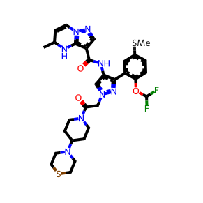 CSc1ccc(OC(F)F)c(-c2nn(CC(=O)N3CCC(N4CCSCC4)CC3)cc2NC(=O)c2cnn3c2NC(C)C=C3)c1